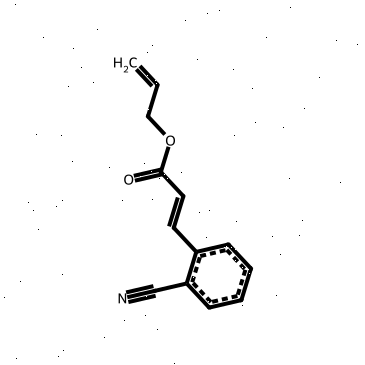 C=CCOC(=O)C=Cc1ccccc1C#N